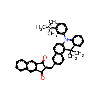 CC1(C)c2ccccc2N(c2cccc([Si](C)(C)C)c2)c2ccc3cc(C=C4C(=O)c5cc6ccccc6cc5C4=O)ccc3c21